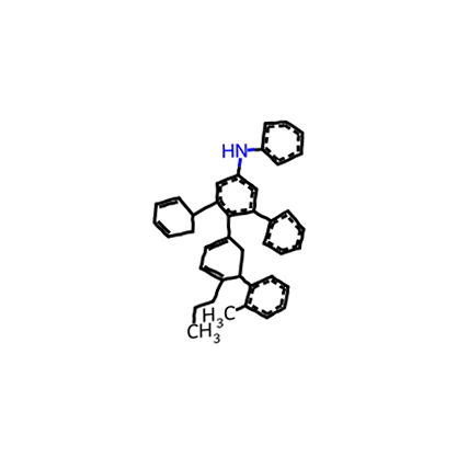 CCCC1=CC=C(c2c(-c3ccccc3)cc(Nc3ccccc3)cc2C2C=CC=CC2)CC1c1ccccc1C